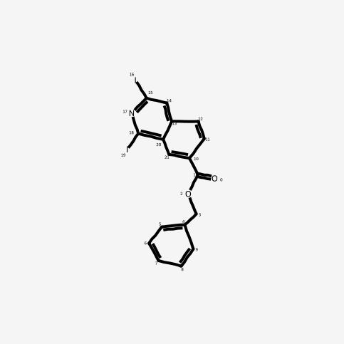 O=C(OCc1ccccc1)c1ccc2cc(I)nc(I)c2c1